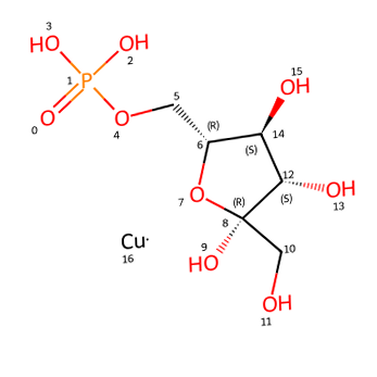 O=P(O)(O)OC[C@H]1O[C@](O)(CO)[C@@H](O)[C@@H]1O.[Cu]